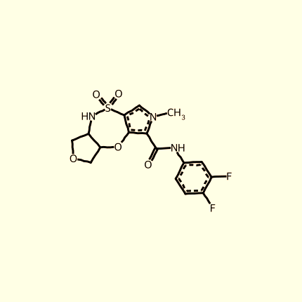 Cn1cc2c(c1C(=O)Nc1ccc(F)c(F)c1)OC1COCC1NS2(=O)=O